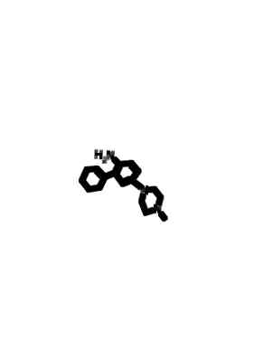 CN1CCN(c2ccc(N)c(C3=CCCCC3)c2)CC1